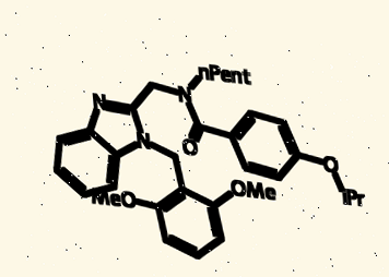 CCCCCN(Cc1nc2ccccc2n1Cc1c(OC)cccc1OC)C(=O)c1ccc(OC(C)C)cc1